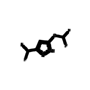 FC(F)Oc1cc(C(F)F)n[nH]1